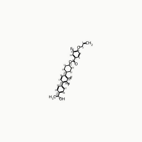 C=CCOc1ccc(C(=O)OC2CCC(c3ccc(-c4ccc(C(C)O)cc4)c(F)c3F)CC2)cc1F